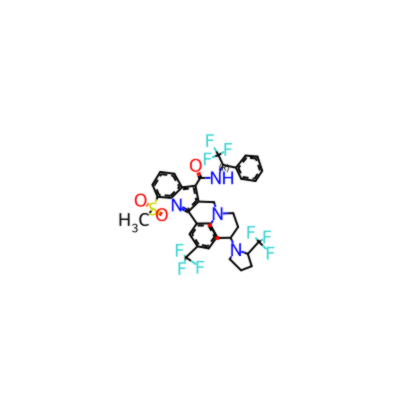 CS(=O)(=O)c1cccc2c(C(=O)N[C@H](c3ccccc3)C(F)(F)F)c(CN3CCC(N4CCCC4C(F)(F)F)CC3)c(-c3cccc(C(F)(F)F)c3)nc12